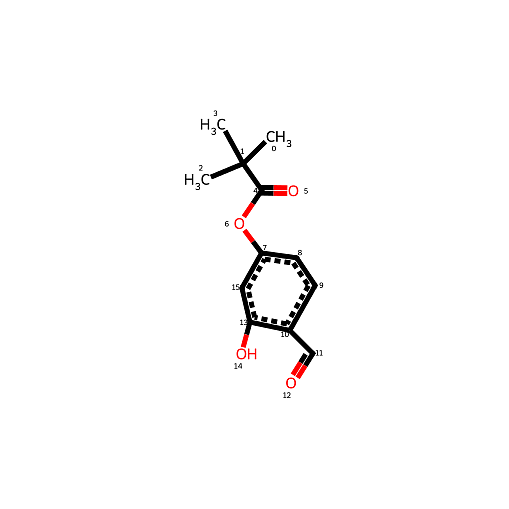 CC(C)(C)C(=O)Oc1ccc(C=O)c(O)c1